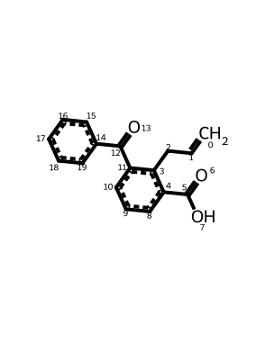 C=CCc1c(C(=O)O)cccc1C(=O)c1ccccc1